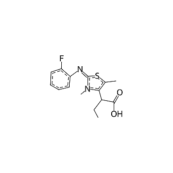 CCC(C(=O)O)c1c(C)s/c(=N/c2ccccc2F)n1C